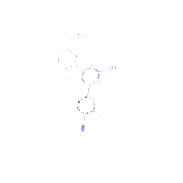 C[C@@H]1CO[C@H](CN)CN1c1cc(-c2ccc(C#N)c(F)c2)nc(N)n1